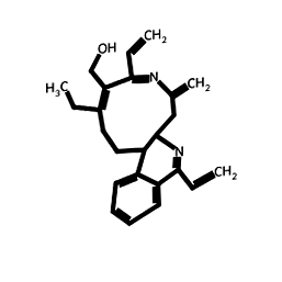 C=CC1=NC2CC(=C)/N=C(C=C)\C(CO)=C(\CC)CCC2c2ccccc21